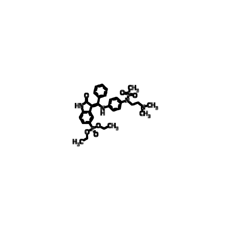 CCOP(=O)(OCC)c1ccc2c(c1)C(=C(Nc1ccc(N(CCN(C)C)S(C)(=O)=O)cc1)c1ccccc1)C(=O)N2